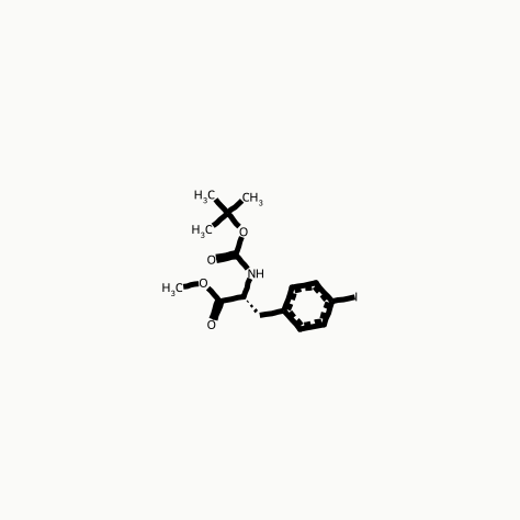 COC(=O)[C@@H](Cc1ccc(I)cc1)NC(=O)OC(C)(C)C